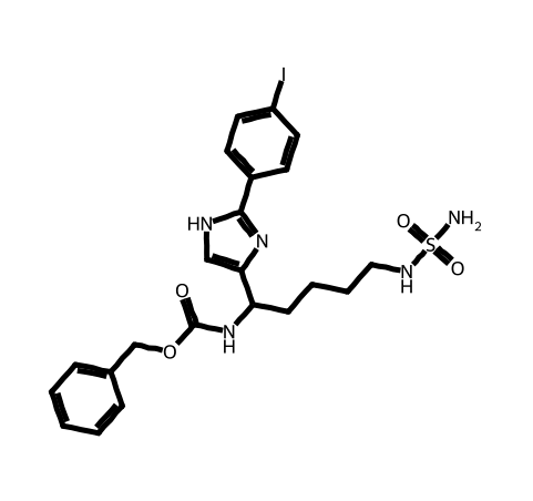 NS(=O)(=O)NCCCCC(NC(=O)OCc1ccccc1)c1c[nH]c(-c2ccc(I)cc2)n1